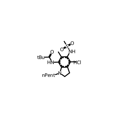 CCCCCN1CCc2c(C)c(NS(C)(=O)=O)c(C)c(NC(=O)C(C)(C)C)c21.Cl